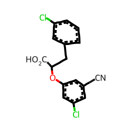 N#Cc1cc(Cl)cc(OC(Cc2cccc(Cl)c2)C(=O)O)c1